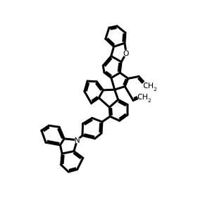 C=CC1=C(C=C)C2(c3ccccc3-c3c(-c4ccc(-n5c6ccccc6c6ccccc65)cc4)cccc32)c2ccc3c(oc4ccccc43)c21